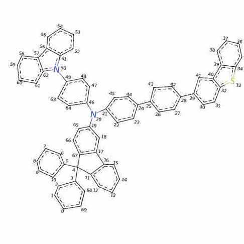 c1ccc(C2(c3ccccc3)c3ccccc3-c3cc(N(c4ccc(-c5ccc(-c6ccc7sc8ccccc8c7c6)cc5)cc4)c4ccc(-n5c6ccccc6c6ccccc65)cc4)ccc32)cc1